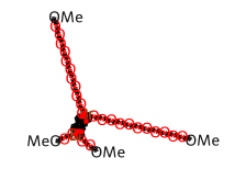 COCCOCCOCCOCCOCCOCCOCCOCCOCCOCCOCCOc1cc(CC2(Cc3cc(OCCOCCOC)cc(OCCOCCOC)c3)c3cc(Br)ccc3-c3ccc(Br)cc32)cc(OCCOCCOCCOCCOCCOCCOCCOCCOCCOCCOCCOC)c1